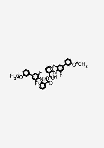 CCOc1cccc(-c2cc(F)c(Nc3ncccc3C(=O)OC(=O)c3cccnc3Nc3c(F)cc(-c4cccc(OC)c4)cc3F)c(F)c2)c1